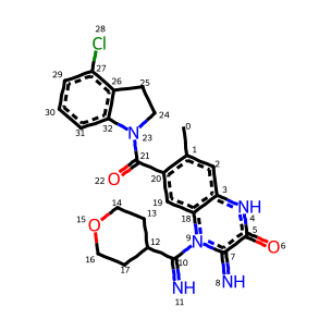 Cc1cc2[nH]c(=O)c(=N)n(C(=N)C3CCOCC3)c2cc1C(=O)N1CCc2c(Cl)cccc21